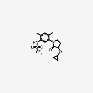 Cc1cc(C)c(N2CCC(OC3CC3)C2=O)cc1NS(=O)(=O)C(F)(F)F